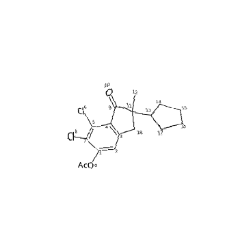 CC(=O)Oc1cc2c(c(Cl)c1Cl)C(=O)C(C)(C1CCCC1)C2